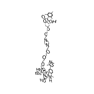 Cc1cc(C)c(C2=C(O)[C@]3(CC[C@H](OCCOCCN4CCN(CCOCCOCCOCC(=O)N[C@H](C(=O)N5C[C@H](O)C[C@H]5C(=O)NC(C)c5ccc(-c6scnc6C)cc5)C(C)(C)C)CC4)CC3)OC2=O)c(C)c1